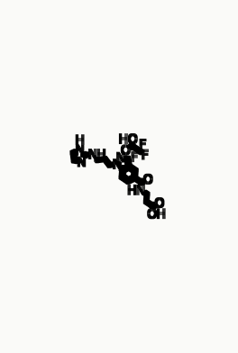 O=C(O)C(F)(F)F.O=C(O)CCNC(=O)c1ccc2c(cnn2CCCNc2ncc[nH]2)c1